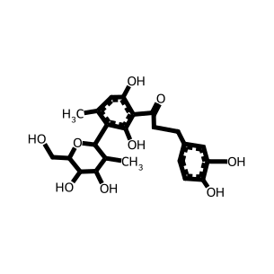 Cc1cc(O)c(C(=O)CCc2ccc(O)c(O)c2)c(O)c1C1OC(CO)C(O)C(O)C1C